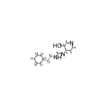 Oc1cnccc1N=CNCCc1ccccc1